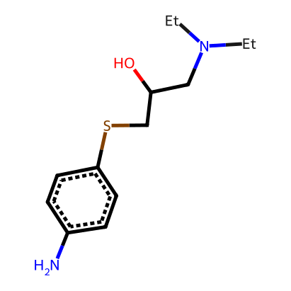 CCN(CC)CC(O)CSc1ccc(N)cc1